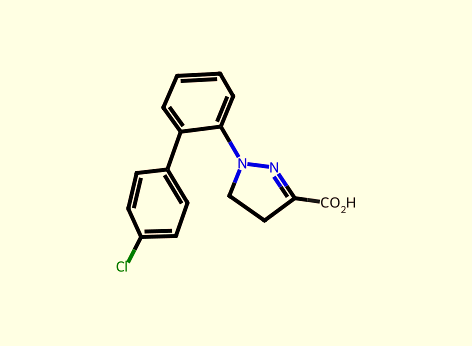 O=C(O)C1=NN(c2ccccc2-c2ccc(Cl)cc2)CC1